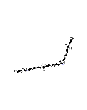 O=C(NCCSCSCC/N=C\[S+]([O-])CCSCSCCSC(=O)NCCSCSCC/N=C/OOCCO)OCCO